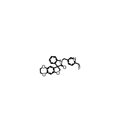 O=C1N(Cc2ccc(CF)nc2)c2ccccc2C12COc1cc3c(cc12)OCCO3